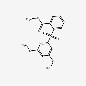 COC(=O)c1ccccc1S(=O)(=O)c1nc(OC)nc(OC)n1